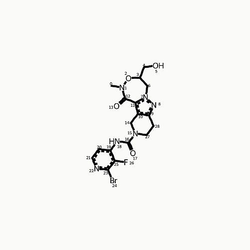 CN1OC(CO)Cn2nc3c(c2C1=O)CN(C(=O)Nc1ccnc(Br)c1F)CC3